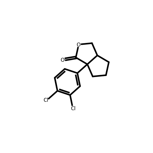 O=C1OCC2CCCC12c1ccc(Cl)c(Cl)c1